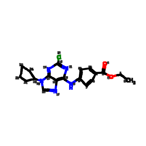 CCOC(=O)c1ccc(Nc2nc(Cl)nc3c2ncn3C2CCCC2)cc1